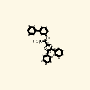 O=C(O)C(Oc1cccc(-c2ccccc2)c1)c1nc(-c2ccccc2)c(-c2ccccc2)o1